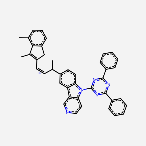 CC1=C(/C=C\C(C)c2ccc3c(c2)c2cnccc2n3-c2nc(-c3ccccc3)nc(-c3ccccc3)n2)Cc2cccc(C)c21